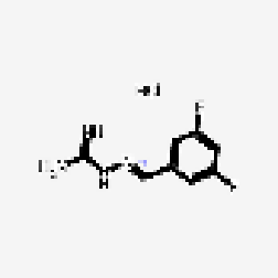 Cl.N=C(N)N/N=C/c1cc(F)cc(F)c1